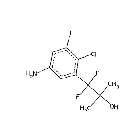 CC(C)(O)C(F)(F)c1cc(N)cc(I)c1Cl